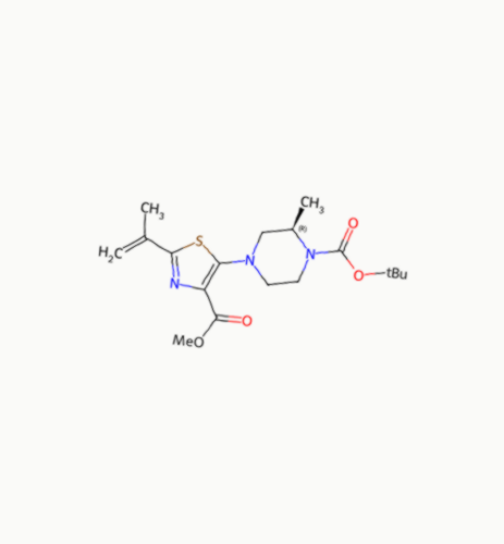 C=C(C)c1nc(C(=O)OC)c(N2CCN(C(=O)OC(C)(C)C)[C@H](C)C2)s1